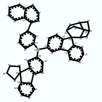 c1cc(-c2cccc3ccccc23)cc(N(c2ccc3c(c2)-c2ccccc2C32C3CC4CC(C3)CC2C4)c2ccc3c(c2)C2(CCCC2)c2ccccc2-3)c1